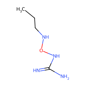 CCCNONC(=N)N